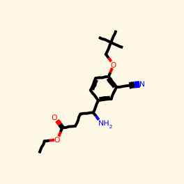 CCOC(=O)CCC(N)c1ccc(OCC(C)(C)C)c(C#N)c1